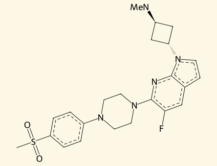 CN[C@H]1C[C@H](n2ccc3cc(F)c(N4CCN(c5ccc(S(C)(=O)=O)cc5)CC4)nc32)C1